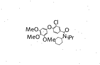 COc1cc(Oc2ccc(C(=O)N(C(C)C)C3CCCCC3)cc2Cl)cc(OC)c1OC